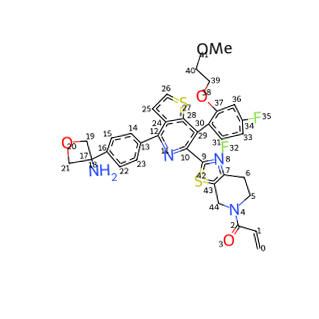 C=CC(=O)N1CCc2nc(-c3nc(-c4ccc(C5(N)COC5)cc4)c4ccsc4c3-c3c(F)cc(F)cc3OCCOC)sc2C1